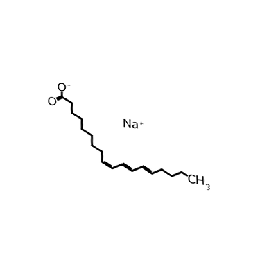 CCCC/C=C/C=C/C=C\CCCCCCCC(=O)[O-].[Na+]